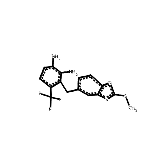 CSc1nc2ccc(Cc3c(C(F)(F)F)ccc(N)c3N)cc2s1